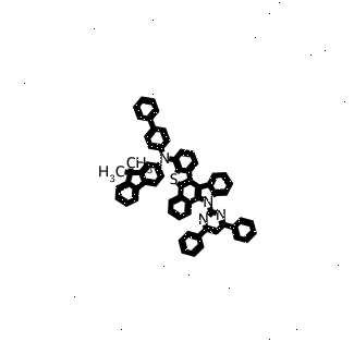 CC1(C)c2ccccc2-c2ccc(N(c3ccc(-c4ccccc4)cc3)c3cccc4c3sc3c5ccccc5c5c(c6ccccc6n5-c5nc(-c6ccccc6)cc(-c6ccccc6)n5)c43)cc21